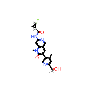 Cc1cc([C@@H](C)O)ncc1-c1cc2cnc(NC(=O)[C@H]3C[C@H]3F)cc2n(C)c1=O